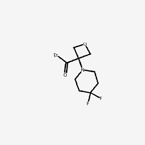 CCC(=O)C1(N2CCC(F)(F)CC2)COC1